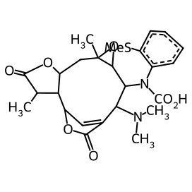 CSc1ccccc1N(C(=O)O)C1C(N(C)C)C2=CC(OC2=O)C2C(CC3(C)OC13)OC(=O)C2C